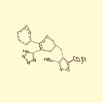 CCCCc1noc(C(=O)OCC)c1Cc1ccc(-c2ccccc2)c(-c2nnn[nH]2)c1